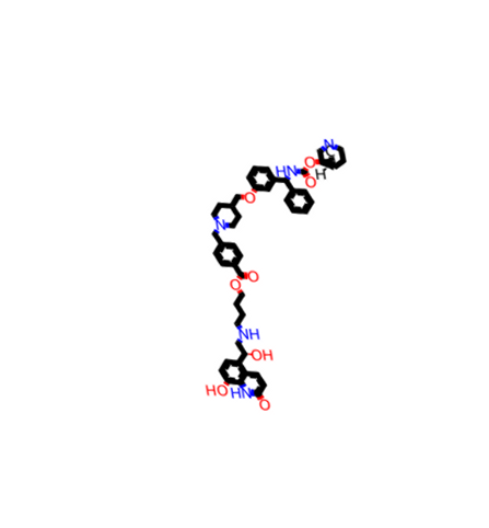 O=C(NC(c1ccccc1)c1cccc(OCC2CCN(Cc3ccc(C(=O)OCCCCNC[C@H](O)c4ccc(O)c5[nH]c(=O)ccc45)cc3)CC2)c1)O[C@H]1CN2CCC1CC2